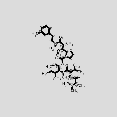 CC[C@H](C)[C@@H]([C@@H](CC(=O)N1CCC[C@H]1[C@H](OC)[C@@H](C)C(=O)N(C)CCc1cccc(N)c1)OC)N(C)C(=O)[C@@H](NC(=O)[C@H](C)N(C)C)C(C)C